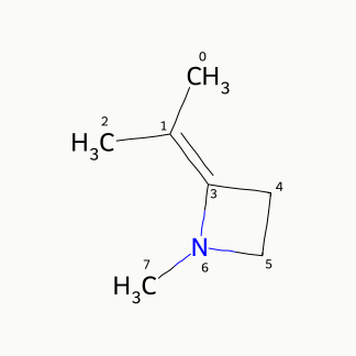 CC(C)=C1CCN1C